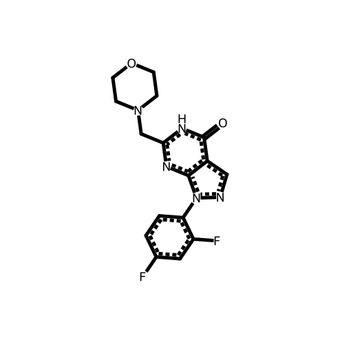 O=c1[nH]c(CN2CCOCC2)nc2c1cnn2-c1ccc(F)cc1F